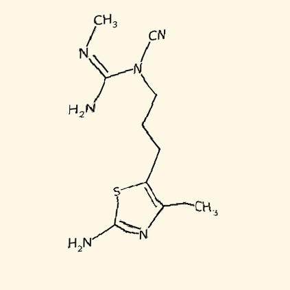 C/N=C(/N)N(C#N)CCCc1sc(N)nc1C